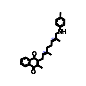 CC1=C(C/C=C(\C)CC/C=C(\C)CNc2ccc(C)cc2)C(=O)c2ccccc2C1=O